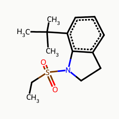 CCS(=O)(=O)N1CCc2cccc(C(C)(C)C)c21